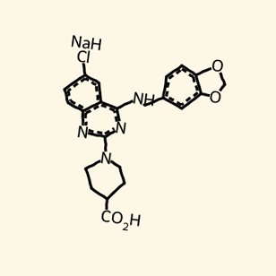 O=C(O)C1CCN(c2nc(NCc3ccc4c(c3)OCO4)c3cc(Cl)ccc3n2)CC1.[NaH]